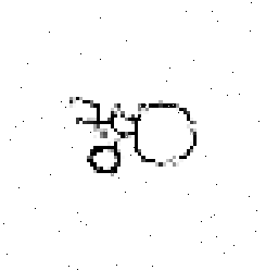 CC(C)CC(C)(S)C(=O)N(c1ccccc1)C1CCCCCCCCCCNC1=O